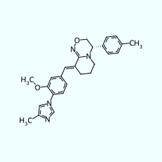 COc1cc(/C=C2\CCCN3C2=NOC[C@@H]3c2ccc(C)cc2)ccc1-n1cnc(C)c1